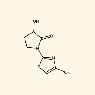 O=C1C(O)CCN1c1nc(C(F)(F)F)cs1